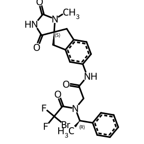 C[C@H](c1ccccc1)N(CC(=O)Nc1ccc2c(c1)C[C@@]1(C2)C(=O)NC(=O)N1C)C(=O)C(F)(F)Br